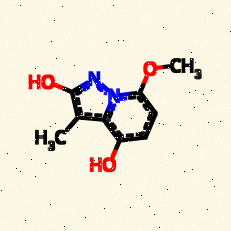 COc1ccc(O)c2c(C)c(O)nn12